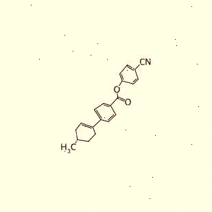 CC1CC=C(c2ccc(C(=O)Oc3ccc(C#N)cc3)cc2)CC1